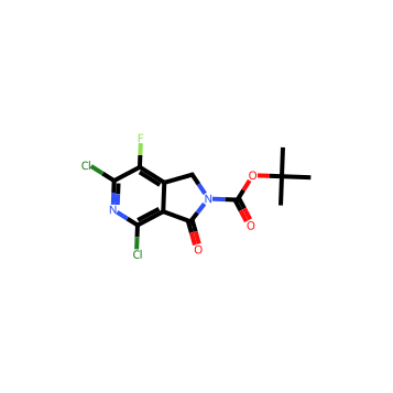 CC(C)(C)OC(=O)N1Cc2c(F)c(Cl)nc(Cl)c2C1=O